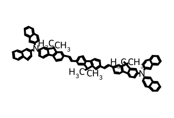 CC1(C)c2cc(/C=C/c3ccc4c(c3)C(C)(C)c3cc(N(c5ccc6ccccc6c5)c5ccc6ccccc6c5)ccc3-4)ccc2-c2ccc(/C=C/c3ccc4c(c3)C(C)(C)c3cc(N(c5ccc6ccccc6c5)c5ccc6ccccc6c5)ccc3-4)cc21